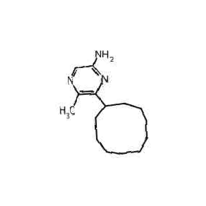 Cc1ncc(N)nc1C1CCCCCCCCC1